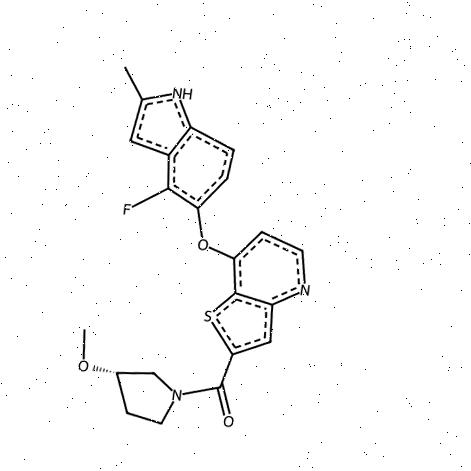 CO[C@H]1CCN(C(=O)c2cc3nccc(Oc4ccc5[nH]c(C)cc5c4F)c3s2)C1